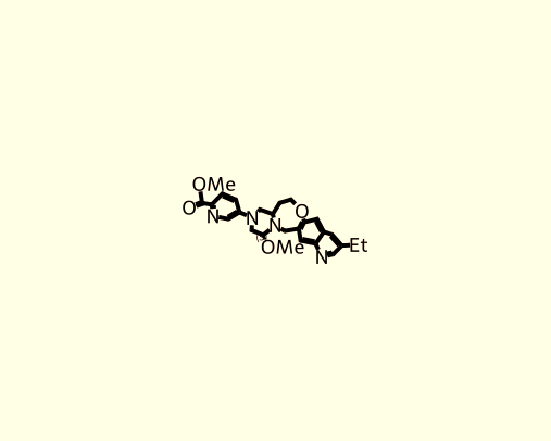 CCc1cnc2cc3c(cc2c1)OCCC1CN(c2ccc(C(=O)OC)nc2)C[C@H](OC)N1C3